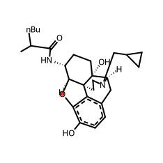 CCCCC(C)C(=O)N[C@@H]1CC[C@@]2(O)[C@H]3Cc4ccc(O)c5c4[C@@]2(CCN3CC2CC2)[C@H]1O5